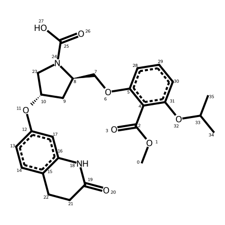 COC(=O)c1c(OC[C@H]2C[C@H](Oc3ccc4c(c3)NC(=O)CC4)CN2C(=O)O)cccc1OC(C)C